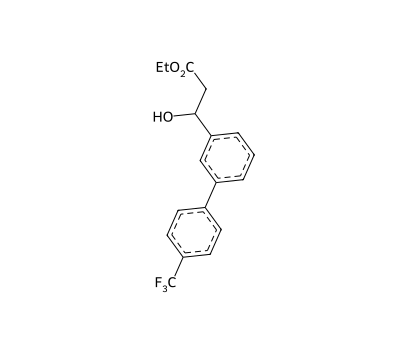 CCOC(=O)CC(O)c1cccc(-c2ccc(C(F)(F)F)cc2)c1